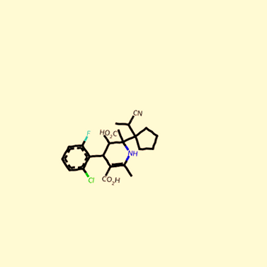 CC1=C(C(=O)O)C(c2c(F)cccc2Cl)C(C(=O)O)C(C)(C2(C(C)C#N)CCCC2)N1